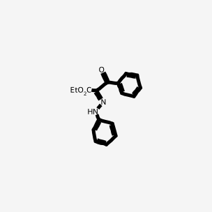 CCOC(=O)/C(=N\Nc1ccccc1)C(=O)c1ccccc1